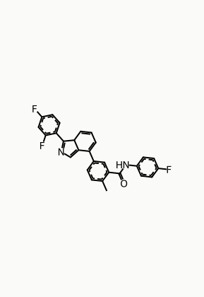 Cc1ccc(C2=CC=CC3C2=CN=C3c2ccc(F)cc2F)cc1C(=O)Nc1ccc(F)cc1